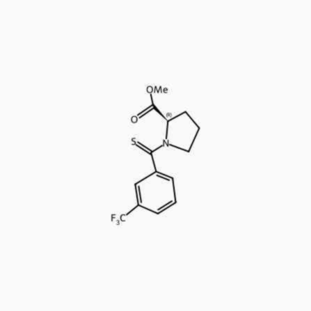 COC(=O)[C@H]1CCCN1C(=S)c1cccc(C(F)(F)F)c1